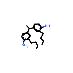 CCCCc1cc(C(C)c2ccc(N)c(CCCC)c2)ccc1N